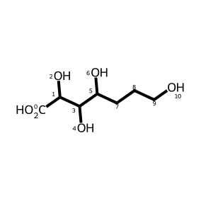 O=C(O)C(O)C(O)C(O)CCCO